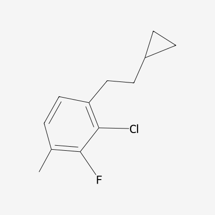 Cc1ccc(CCC2CC2)c(Cl)c1F